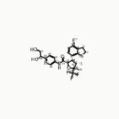 C[C@H]1[C@@H](c2ccc(F)c3c2SCC3)[C@H](C(=O)Nc2ccc([C@H](O)CO)nc2)O[C@@]1(C)C(F)(F)F